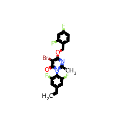 C=Cc1cc(F)c(-n2c(C)nc(OCc3ccc(F)cc3F)c(Br)c2=O)c(F)c1